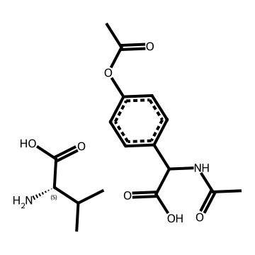 CC(=O)NC(C(=O)O)c1ccc(OC(C)=O)cc1.CC(C)[C@H](N)C(=O)O